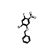 O=[N+]([O-])c1cc(OCc2ccccc2)c(Br)cc1F